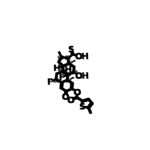 Cc1ccc(C(=O)OC2=C[C@@]3(C)C(=CC2=O)[C@@H](F)C[C@@H]2[C@@H]4C[C@@H](C)[C@@H](C(O)=S)[C@@]4(C)C[C@H](O)[C@@]23F)s1